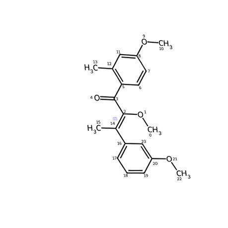 CO/C(C(=O)c1ccc(OC)cc1C)=C(/C)c1cccc(OC)c1